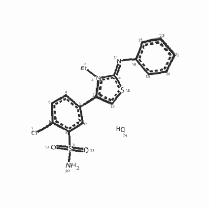 CCn1c(-c2ccc(Cl)c(S(N)(=O)=O)c2)csc1=Nc1ccccc1.Cl